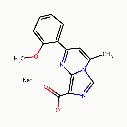 COc1ccccc1-c1cc(C)n2cnc(C(=O)[O-])c2n1.[Na+]